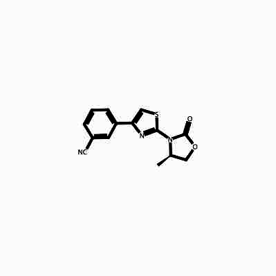 C[C@@H]1COC(=O)N1c1nc(-c2cccc(C#N)c2)cs1